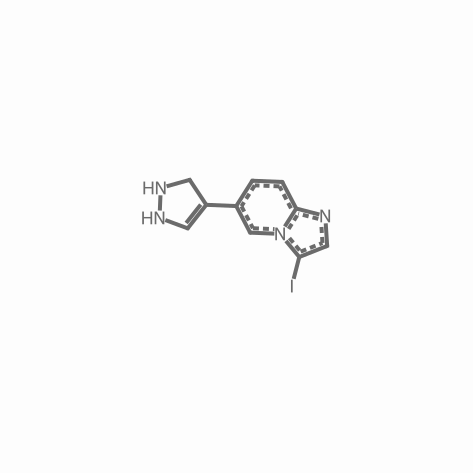 Ic1cnc2ccc(C3=CNNC3)cn12